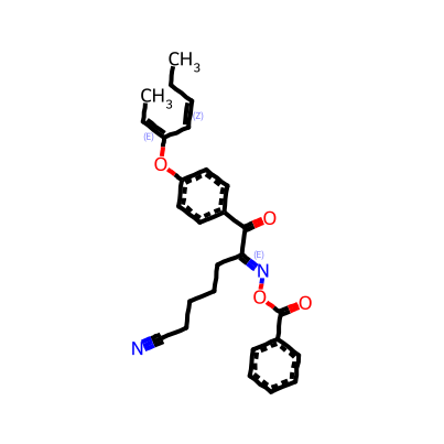 C/C=C(\C=C/CC)Oc1ccc(C(=O)/C(CCCCC#N)=N/OC(=O)c2ccccc2)cc1